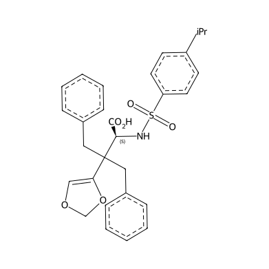 CC(C)c1ccc(S(=O)(=O)N[C@H](C(=O)O)C(Cc2ccccc2)(Cc2ccccc2)C2=COCO2)cc1